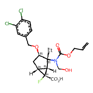 C=CCOC(=O)N(CO)[C@@]1(CC)[C@H](OCc2ccc(Cl)c(Cl)c2)C[C@@H]2[C@H]1[C@@]2(F)C(=O)O